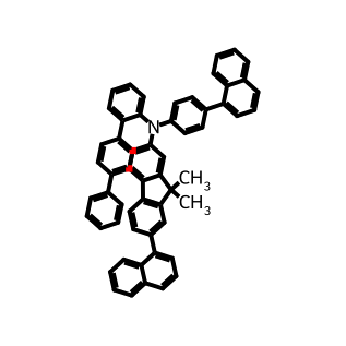 CC1(C)c2cc(-c3cccc4ccccc34)ccc2-c2ccc(N(c3ccc(-c4cccc5ccccc45)cc3)c3ccccc3-c3ccc(-c4ccccc4)cc3)cc21